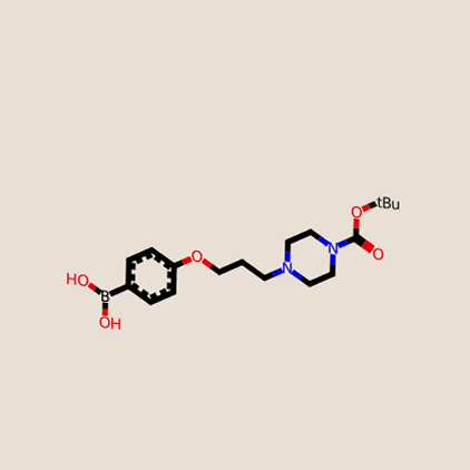 CC(C)(C)OC(=O)N1CCN(CCCOc2ccc(B(O)O)cc2)CC1